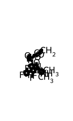 C=CC(=O)OC(=O)/C=C/C12COC1CN2C[C@H]1CSc2c(-c3ccc(F)cc3F)c(C(F)(F)F)cc3c(N4C[C@@H](C)N[C@@H](C)C4)nc(=O)n1c23